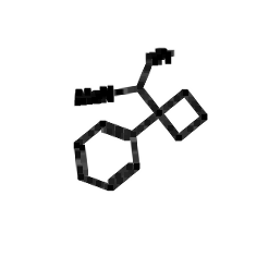 CCCC(NC)C1(c2ccccc2)CCC1